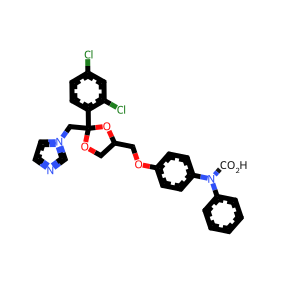 O=C(O)N(c1ccccc1)c1ccc(OCC2COC(Cn3ccnc3)(c3ccc(Cl)cc3Cl)O2)cc1